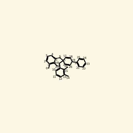 Cc1cccc(CC2(Cc3cccc(C)c3C)C=CC(c3ccccc3)C=C2)c1C